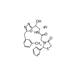 Cc1cccc(Cc2nnc(C(O)[C@@H](NC(=O)CN3C(=O)CS[C@H]3c3ccccc3)C(C)C)o2)c1